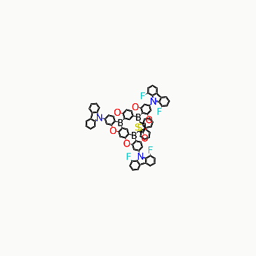 Fc1cccc2c3cccc(F)c3n(-c3cc4c5c(c3)Oc3c(sc6ccccc36)B5c3cc5c(cc3O4)Oc3cc(-n4c6ccccc6c6ccccc64)cc4c3B5c3cc5c(cc3O4)Oc3cc(-n4c6c(F)cccc6c6cccc(F)c64)cc4c3B5c3sc5ccccc5c3O4)c12